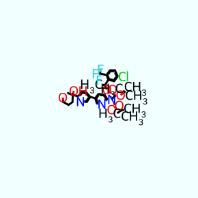 CC(Oc1cc(-c2ccc(C3(O)CCCOC3)nc2)cnc1N(C(=O)OC(C)(C)C)C(=O)OC(C)(C)C)c1cc(Cl)ccc1C(F)(F)F